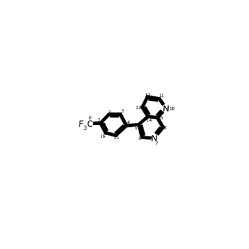 FC(F)(F)c1ccc(-c2cncc3ncccc23)cc1